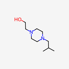 CC(C)CN1CCN(CCO)CC1